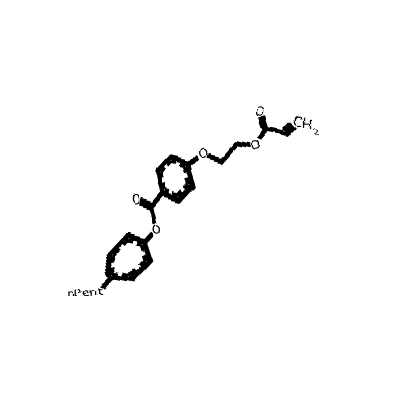 C=CC(=O)OCCOc1ccc(C(=O)Oc2ccc(CCCCC)cc2)cc1